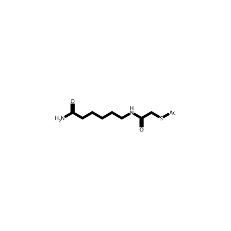 CC(=O)SCC(=O)NCCCCCC(N)=O